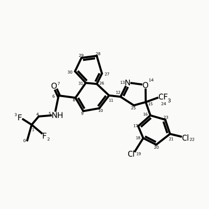 CC(F)(F)CNC(=O)c1ccc(C2=NOC(c3cc(Cl)cc(Cl)c3)(C(F)(F)F)C2)c2ccccc12